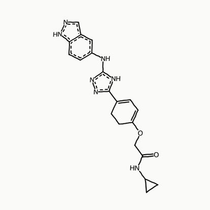 O=C(COC1=CC=C(c2nnc(Nc3ccc4[nH]ncc4c3)[nH]2)CC1)NC1CC1